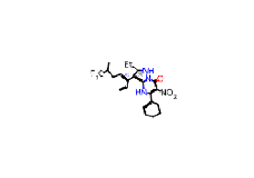 C=C/C(=C\CC(C)C(F)(F)F)C1=C2NC(C3=CCCCC3)=C([N+](=O)[O-])C(=O)N2N[C@@H]1CC